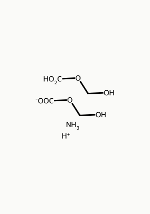 N.O=C(O)OCO.O=C([O-])OCO.[H+]